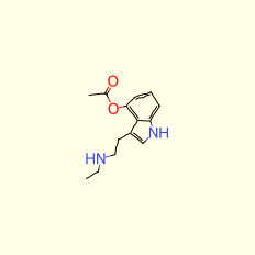 CCNCCc1c[nH]c2cccc(OC(C)=O)c12